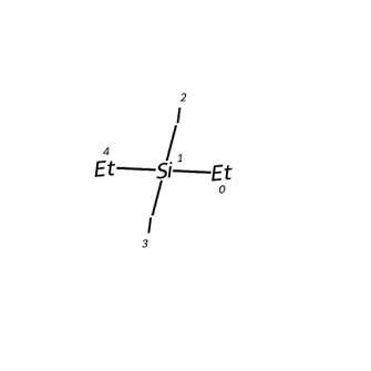 CC[Si](I)(I)CC